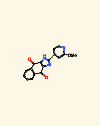 COc1cc(-c2nc3c([nH]2)C(=O)c2ccccc2C3=O)ccn1